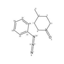 CC1CCC(=O)CC1.[N-]=[N+]=Nc1ccccc1